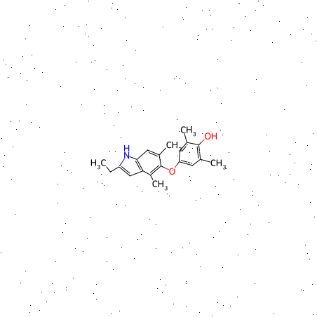 CCc1cc2c(C)c(Oc3cc(C)c(O)c(C)c3)c(C)cc2[nH]1